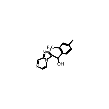 Cc1ccc(C(O)c2cnc3cnccn23)c(C(F)(F)F)c1